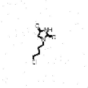 O=C1CN(CCCCCl)C(=O)N1